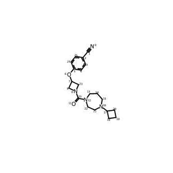 N#Cc1ccc(OC2CN(C(=O)N3CCCN(C4CCC4)CC3)C2)cc1